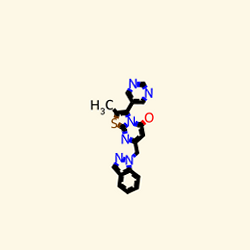 Cc1sc2nc(Cn3ncc4ccccc43)cc(=O)n2c1-c1cncnc1